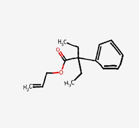 C=CCOC(=O)C(CC)(CC)c1ccccc1